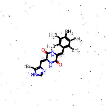 Bc1c(B)c(B)c(/C=c2\[nH]c(=O)/c(=C/c3nc[nH]c3C(C)(C)C)[nH]c2=O)c(B)c1B